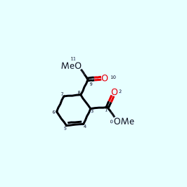 COC(=O)C1C=CCCC1C(=O)OC